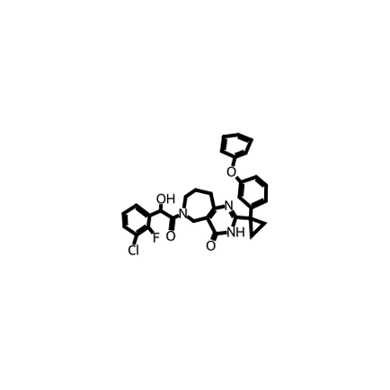 O=C(C(O)c1cccc(Cl)c1F)N1CCCc2nc(C3(c4cccc(Oc5ccccc5)c4)CC3)[nH]c(=O)c2C1